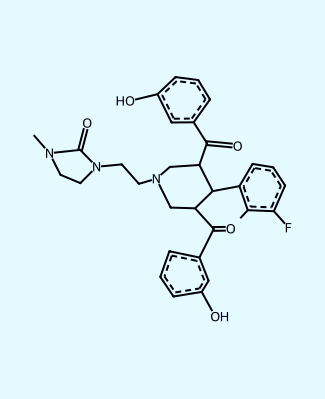 Cc1c(F)cccc1C1C(C(=O)c2cccc(O)c2)CN(CCN2CCN(C)C2=O)CC1C(=O)c1cccc(O)c1